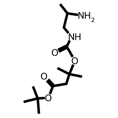 CC(N)CNC(=O)OC(C)(C)CC(=O)OC(C)(C)C